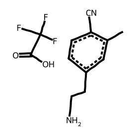 Cc1cc(CCN)ccc1C#N.O=C(O)C(F)(F)F